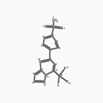 CS(=O)(=O)c1ccc(-c2cc(C(F)(F)F)n3nccc3n2)cc1